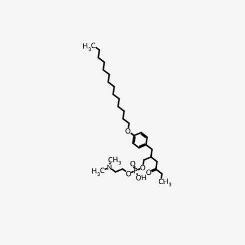 CCCCCCCCCCCCCCOc1ccc(CC(COP(=O)(O)OCCN(C)C)CC(=O)CC)cc1